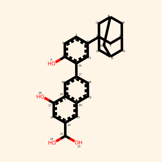 Oc1ccc(C23CC4CC(CC(C4)C2)C3)cc1-c1ccc2cc(C(O)O)cc(O)c2c1